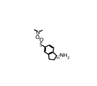 CN(C)OOSc1ccc2c(c1)CC[C@H]2N